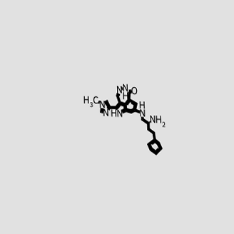 Cn1cnc(-c2[nH]c3cc(NC[C@H](N)CCc4ccccc4)cc4c3c2C=NNC4=O)c1